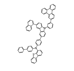 c1ccc(-c2ccc(N(c3ccc(-c4ccc5c(c4)c4cc(-c6cccc7ccccc67)ccc4n5-c4cccc(-c5ccc6c7ccccc7c7ccccc7c6c5)c4)cc3)c3cccc4c3sc3ccccc34)cc2)cc1